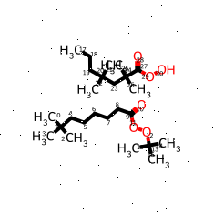 CC(C)(C)CCCCCC(=O)OOC(C)(C)C.CCCC(C)(C)CC(C)(C)C(=O)OO